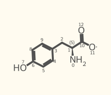 N[C@@H](Cc1ccc(O)cc1)C([O])=O